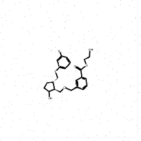 O=C(OCCO)c1cccc(COC[C@H]2C(O)CC[C@@H]2CSc2cccc(Cl)c2)c1